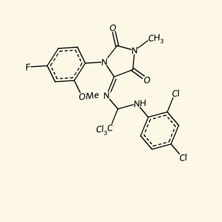 COc1cc(F)ccc1N1C(=O)N(C)C(=O)C1=NC(Nc1ccc(Cl)cc1Cl)C(Cl)(Cl)Cl